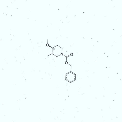 CO[C@H]1CCN(C(=O)OCc2ccccc2)CC1C